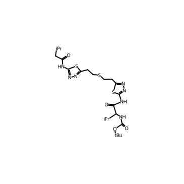 CC(C)CC(=O)Nc1nnc(CCSCCc2nnc(NC(=O)C(NC(=O)OC(C)(C)C)C(C)C)s2)s1